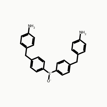 Nc1ccc(Cc2ccc([S+]([O-])c3ccc(Cc4ccc(N)cc4)cc3)cc2)cc1